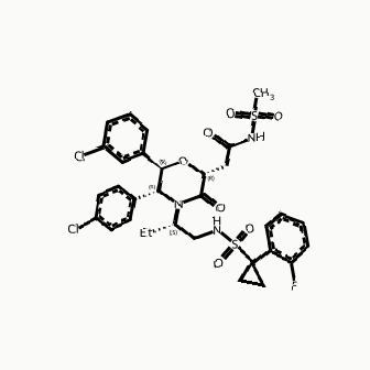 CC[C@@H](CNS(=O)(=O)C1(c2ccccc2F)CC1)N1C(=O)[C@@H](CC(=O)NS(C)(=O)=O)O[C@H](c2cccc(Cl)c2)[C@H]1c1ccc(Cl)cc1